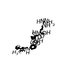 Cn1nc(CNc2cccc(S(=O)(=O)Nc3ccsc3C(=O)N[C@@H](CCCNC(=N)N)C(=O)O)c2)cc1-c1ccco1